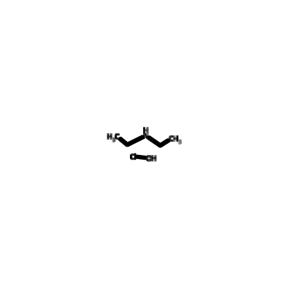 CCNCC.OCl